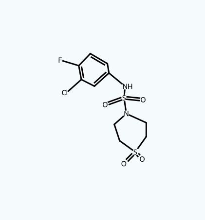 O=S1(=O)CCN(S(=O)(=O)Nc2ccc(F)c(Cl)c2)CC1